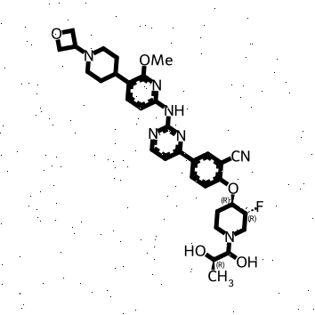 COc1nc(Nc2nccc(-c3ccc(O[C@@H]4CCN(C(O)[C@@H](C)O)C[C@H]4F)c(C#N)c3)n2)ccc1C1CCN(C2COC2)CC1